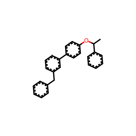 CC(Oc1ccc(-c2[c]ccc(Cc3ccccc3)c2)cc1)c1ccccc1